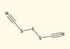 N#CSSSC#N